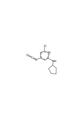 O=C=Nc1cc(Cl)nc(NC2CCCC2)c1